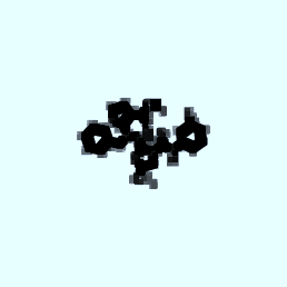 CC1CN(C(=S)Nc2cccc(F)c2)C(=NN(Cc2ccccc2)c2sccc2C(C)C)S1